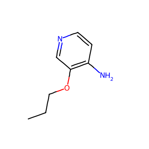 CCCOc1cnccc1N